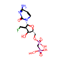 Nc1ccn([C@@H]2O[C@H](COP(=O)(O)CP(=O)(O)O)C(O)/C2=C\F)c(=O)n1